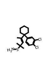 CC(=CC(C)(C)SN)C1(c2ccc(Cl)c(Cl)c2)CCCCC1